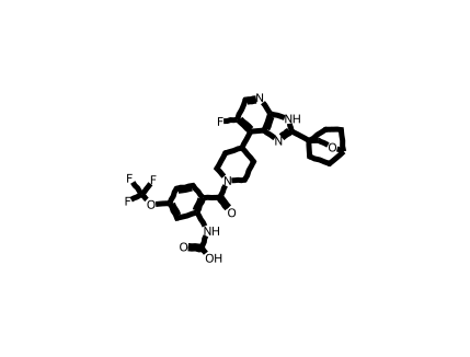 O=C(O)Nc1cc(OC(F)(F)F)ccc1C(=O)N1CCC(c2c(F)cnc3[nH]c(C45CCC(CC4)OC5)nc23)CC1